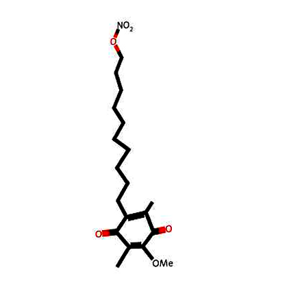 COC1=C(C)C(=O)C(CCCCCCCCCCO[N+](=O)[O-])=C(C)C1=O